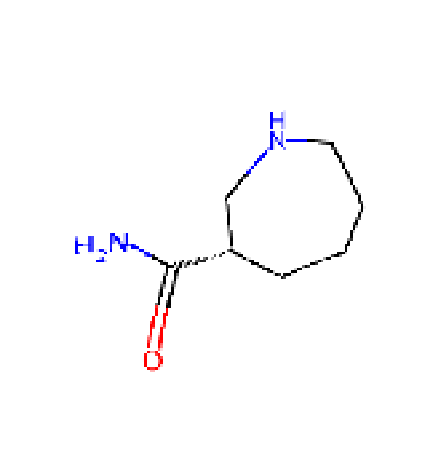 NC(=O)[C@H]1CCCCNC1